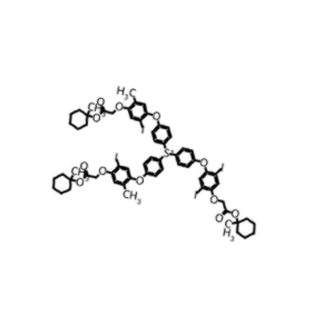 Cc1cc(Oc2ccc([S+](c3ccc(Oc4cc(I)c(OCC(=O)OC5(C)CCCCC5)cc4C)cc3)c3ccc(Oc4cc(I)c(OCC(=O)OC5(C)CCCCC5)cc4I)cc3)cc2)c(I)cc1OCC(=O)OC1(C)CCCCC1